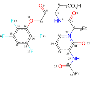 CCC(C(=O)NC(CC(=O)O)C(=O)COc1c(F)c(F)cc(F)c1F)n1cccc(NC(=O)C(C)C)c1=O